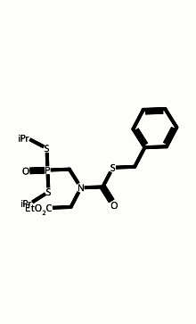 CCOC(=O)CN(CP(=O)(SC(C)C)SC(C)C)C(=O)SCc1ccccc1